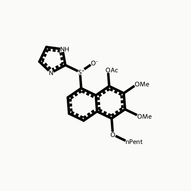 CCCCCOc1c(OC)c(OC)c(OC(C)=O)c2c([S+]([O-])c3ncc[nH]3)cccc12